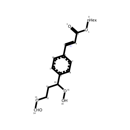 CCCCCCOC(=O)/C=C/c1ccc(C(CCOC=O)OO)cc1